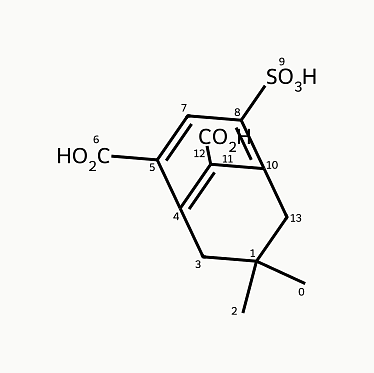 CC1(C)Cc2c(C(=O)O)cc(S(=O)(=O)O)c(c2C(=O)O)C1